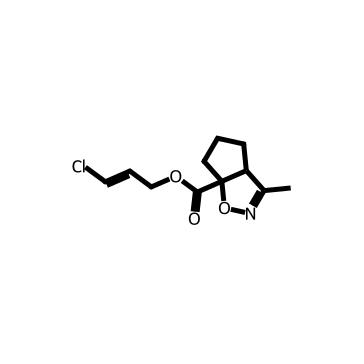 CC1=NOC2(C(=O)OC/C=C/Cl)CCCC12